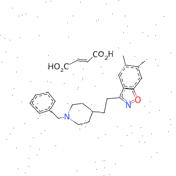 Cc1cc2onc(CCC3CCN(Cc4ccccc4)CC3)c2cc1C.O=C(O)C=CC(=O)O